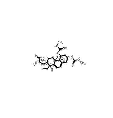 COC(=O)O[C@@H]1CC2=CC=C3[C@@H]4CC[C@H]([C@H](C)C=O)[C@@]4(C)CC[C@@H]3[C@@]2(C)[C@@H](OC(=O)OC)C1